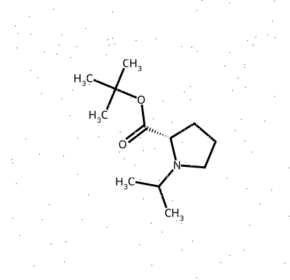 CC(C)N1CCC[C@H]1C(=O)OC(C)(C)C